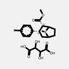 COC(=O)[C@@H]1C2CCC(C[C@@H]1c1ccc(I)cc1)N2C.O=C(O)C(O)C(O)C(=O)O